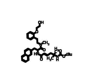 CN(CCc1ccccc1OCCO)C(=O)C(Cc1ccc2ccccc2c1)NC(=O)/C=C/CC(C)(C)NC(=O)OC(C)(C)C